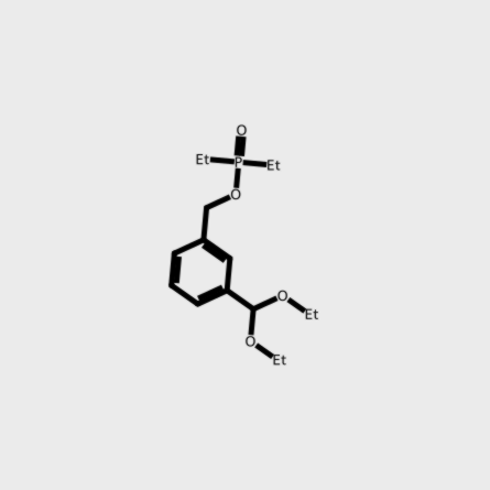 CCOC(OCC)c1cccc(COP(=O)(CC)CC)c1